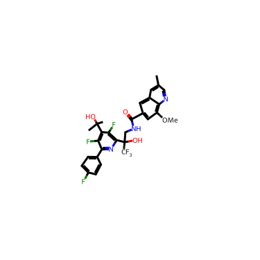 COc1cc(C(=O)NCC(O)(c2nc(-c3ccc(F)cc3)c(F)c(C(C)(C)O)c2F)C(F)(F)F)cc2cc(C)cnc12